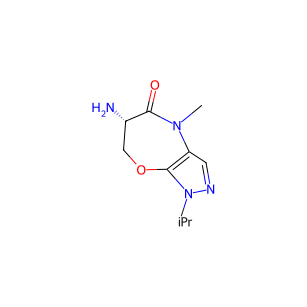 CC(C)n1ncc2c1OC[C@H](N)C(=O)N2C